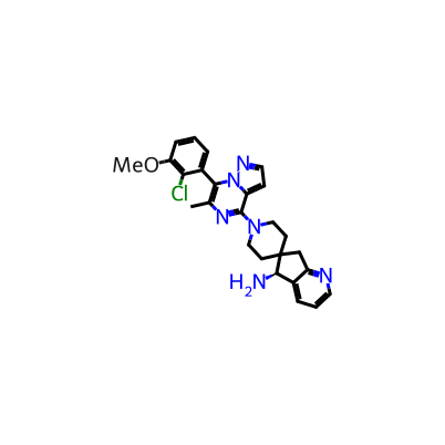 COc1cccc(-c2c(C)nc(N3CCC4(CC3)Cc3ncccc3[C@H]4N)c3ccnn23)c1Cl